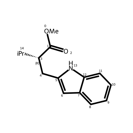 COC(=O)[C@H](Cc1cc2ccccc2[nH]1)C(C)C